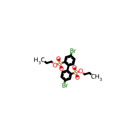 CCCOS(=O)(=O)c1cc(Br)ccc1-c1ccc(Br)cc1S(=O)(=O)OCCC